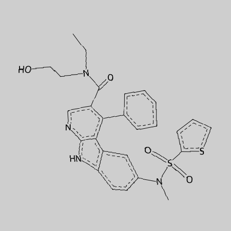 CCN(CCO)C(=O)c1cnc2[nH]c3ccc(N(C)S(=O)(=O)c4cccs4)cc3c2c1-c1ccccc1